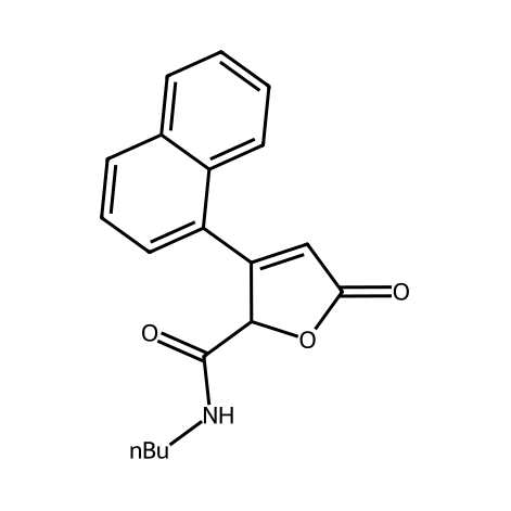 CCCCNC(=O)C1OC(=O)C=C1c1cccc2ccccc12